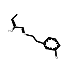 C/C=C(/O)C=NCCc1cccc(Cl)c1